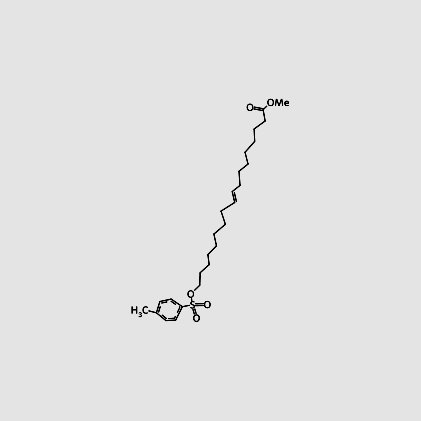 COC(=O)CCCCCCCC=CCCCCCCCCOS(=O)(=O)c1ccc(C)cc1